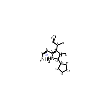 CC(C=O)C1=C(/C=C\N)NC(C2CCCC2)N1C